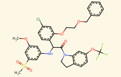 COc1cc(NC(C(=O)N2CCc3ccc(OC(F)(F)F)cc32)c2ccc(Cl)cc2OCCOCc2ccccc2)cc(S(C)(=O)=O)c1